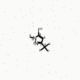 Cn1nc(C(C)(C)C)cc1I